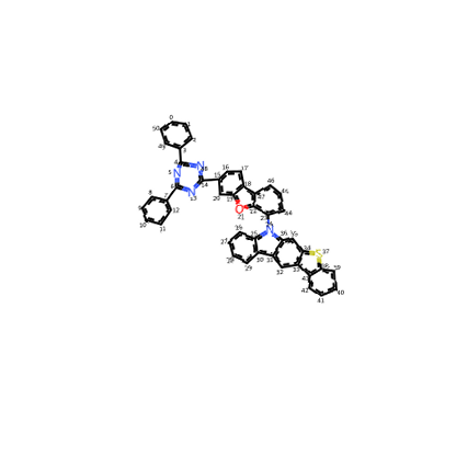 c1ccc(-c2nc(-c3ccccc3)nc(-c3ccc4c(c3)oc3c(-n5c6ccccc6c6cc7c(cc65)sc5ccccc57)cccc34)n2)cc1